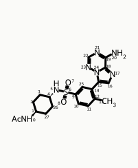 CC(=O)N[C@H]1CC[C@H](NS(=O)(=O)c2ccc(C)c(-c3cnc4c(N)ncnn34)c2)CC1